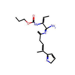 C=C(C/C=C(\C)C1=NCC=C1)/N=C(N)\C(=C/C)NC(=O)OCCC